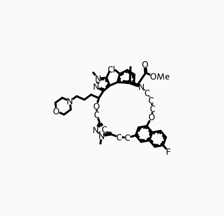 COC(=O)c1c(C)c2c3c(Cl)ccc2n1CCCOc1cc(cc2cc(F)ccc12)CCc1cc(nn1C)COC(CCCN1CCOCC1)c1nn(C)c(C)c1-3